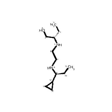 CC[C@@H](CO)NCCN[C@@H](CC)C1CC1